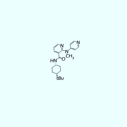 CN(c1ccncc1)c1ncccc1C(=O)N[C@H]1CC[C@H](C(C)(C)C)CC1